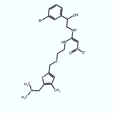 Cc1cc(CSCCNC(=C[N+](=O)[O-])NCC(O)c2cccc(Br)c2)sc1CN(C)C